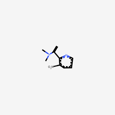 C=C(c1ncccc1[N+](=O)[O-])N(C)C